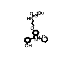 CC(C)(C)OC(=O)NCCCOc1ccc2c(c1)c(-c1cccc(O)c1)nn2C1CCCCO1